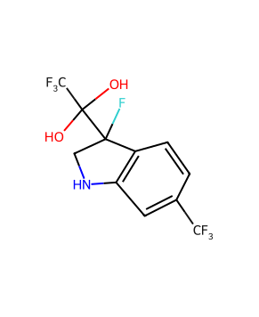 OC(O)(C(F)(F)F)C1(F)CNc2cc(C(F)(F)F)ccc21